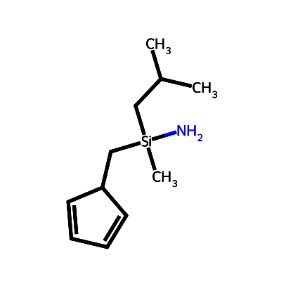 CC(C)C[Si](C)(N)CC1C=CC=C1